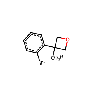 CC(C)c1ccccc1C1(C(=O)O)COC1